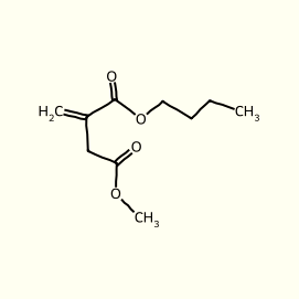 C=C(CC(=O)OC)C(=O)OCCCC